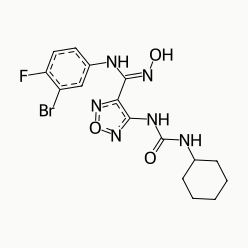 O=C(Nc1nonc1/C(=N/O)Nc1ccc(F)c(Br)c1)NC1CCCCC1